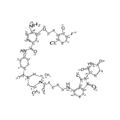 C[C@@H]1CN(C(=O)c2ccc(NC(=O)c3cc(OCCc4c(Cl)ccc(F)c4Cl)c(N)nn3)cc2)C[C@H](C)N1C(=O)CCCCNc1cccc2c1C(=O)N([C@@H]1CCC(=O)NC1=O)C2=O